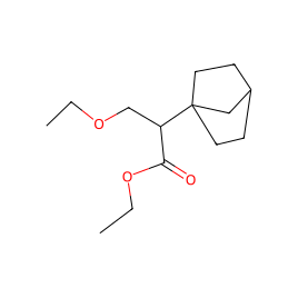 CCOCC(C(=O)OCC)C12CCC(CC1)C2